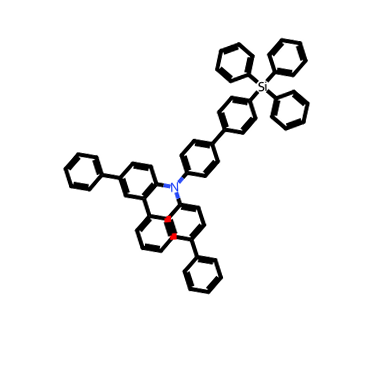 c1ccc(-c2ccc(N(c3ccc(-c4ccc([Si](c5ccccc5)(c5ccccc5)c5ccccc5)cc4)cc3)c3ccc(-c4ccccc4)cc3-c3ccccc3)cc2)cc1